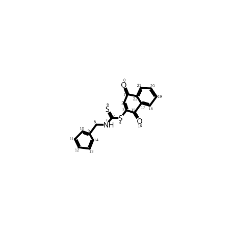 O=C1C=C(SC(=S)NCc2ccccc2)C(=O)c2ccccc21